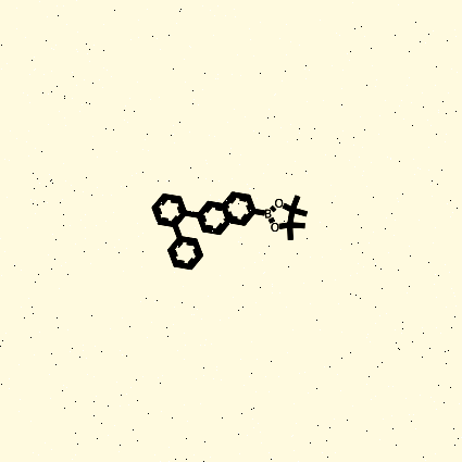 CC1(C)OB(c2ccc3cc(-c4ccccc4-c4ccccc4)ccc3c2)OC1(C)C